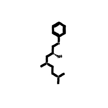 CN(C)CCN(C)C[C@@H]([NH])CSc1ccccc1